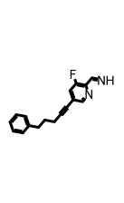 N=Cc1ncc(C#CCCCc2ccccc2)cc1F